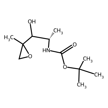 C[C@H](NC(=O)OC(C)(C)C)C(O)C1(C)CO1